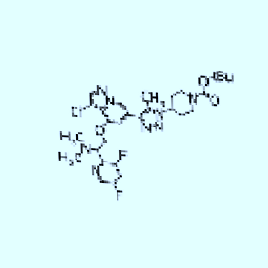 Cc1c(-c2cc(OCC(c3ncc(F)cc3F)N(C)C)c3c(Cl)cnn3c2)nnn1C1CCN(C(=O)OC(C)(C)C)CC1